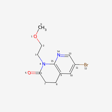 COCCN1C(=O)CCc2cc(Br)cnc21